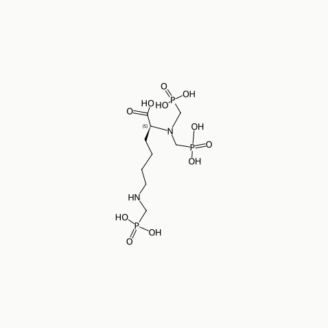 O=C(O)[C@H](CCCCNCP(=O)(O)O)N(CP(=O)(O)O)CP(=O)(O)O